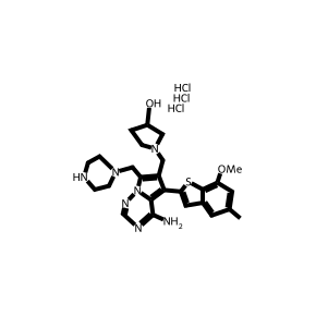 COc1cc(C)cc2cc(-c3c(CN4CCC(O)C4)c(CN4CCNCC4)n4ncnc(N)c34)sc12.Cl.Cl.Cl